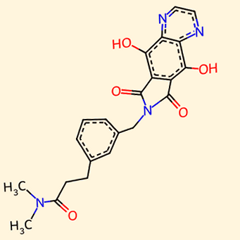 CN(C)C(=O)CCc1cccc(CN2C(=O)c3c(c(O)c4nccnc4c3O)C2=O)c1